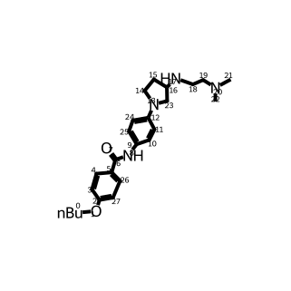 CCCCOc1ccc(C(=O)Nc2ccc(N3CCC(NCCN(C)C)C3)cc2)cc1